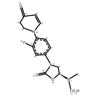 CN(C(=O)O)[C@@H]1CN(c2ccc(N3C=CC(=O)CC3)c(F)c2)C(=O)O1